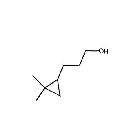 CC1(C)CC1CCCO